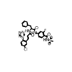 CS(=O)(=O)NC(=O)c1ccc(NC(=O)C(Cc2ccccc2)NC(=O)C=Cc2cc(Cl)ccc2-n2cnnn2)cc1F